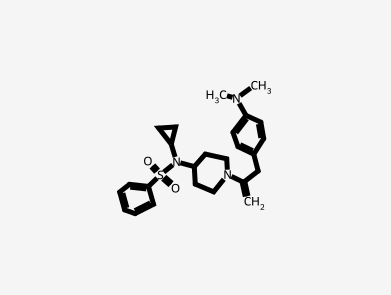 C=C(Cc1ccc(N(C)C)cc1)N1CCC(N(C2CC2)S(=O)(=O)c2ccccc2)CC1